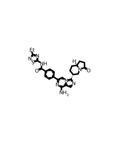 CCc1nsc(NC(=O)c2ccc(-c3cn4c([C@@H]5CC[C@H]6CCC(=O)N6C5)ncc4c(N)n3)cc2)n1